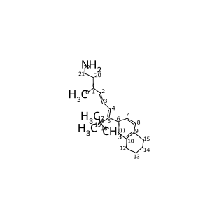 CC(/C=C/C=C(/c1ccc2c(c1)CCCC2)C(C)(C)C)=C\CN